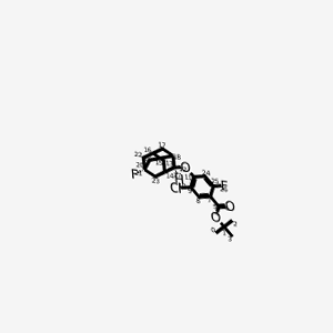 CC(C)(C)OC(=O)c1cc(Cl)c(O[C@H]2C3CC4CC2C[C@](F)(C4)C3)cc1F